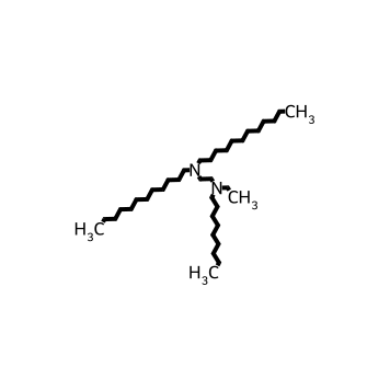 CCCCCCCCCCCCN(CCCCCCCCCCCC)CCN(CC)CCCCCCCCC